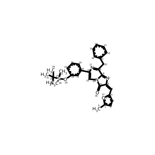 Cc1ccc(/C=C2/N=C3C(Cc4ccccc4)=NC(c4cccc(O[Si](C)(C)C(C)(C)C)c4)=CN3C2=O)o1